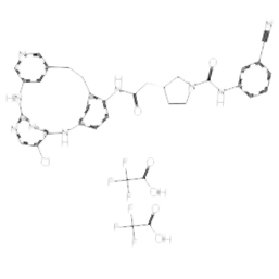 N#Cc1cccc(NC(=O)N2CC[C@H](CC(=O)Nc3ccc4cc3CCc3cncc(c3)Nc3ncc(Cl)c(n3)N4)C2)c1.O=C(O)C(F)(F)F.O=C(O)C(F)(F)F